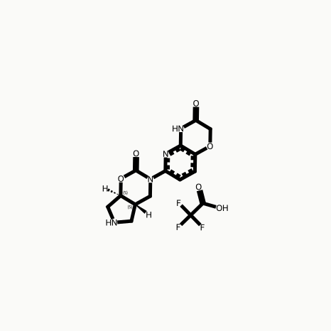 O=C(O)C(F)(F)F.O=C1COc2ccc(N3C[C@@H]4CNC[C@H]4OC3=O)nc2N1